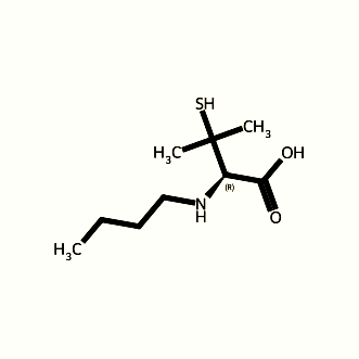 CCCCN[C@H](C(=O)O)C(C)(C)S